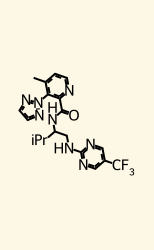 Cc1ccnc(C(=O)NC(CNc2ncc(C(F)(F)F)cn2)C(C)C)c1-n1nccn1